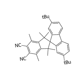 Cc1c(C#N)c(C#N)c(C)c2c1C(C)(C)C1(c3cc(C(C)(C)C)ccc3-c3ccc(C(C)(C)C)cc31)C2(C)C